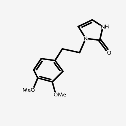 COc1ccc(CCn2cc[nH]c2=O)cc1OC